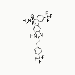 NS(=O)(=O)c1ccc(C(F)(F)F)cc1-c1ccc2[nH]c(CCc3ccc(C(F)(F)F)cc3)nc2c1